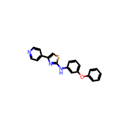 c1ccc(Oc2cccc(Nc3nc(-c4ccncc4)cs3)c2)cc1